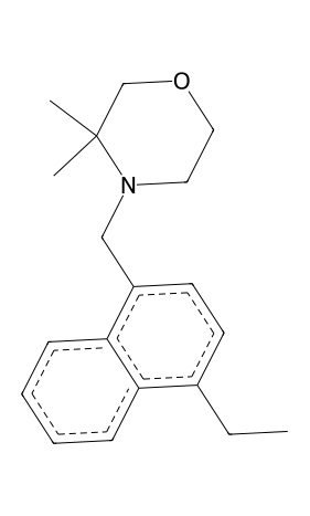 CCc1ccc(CN2CCOCC2(C)C)c2ccccc12